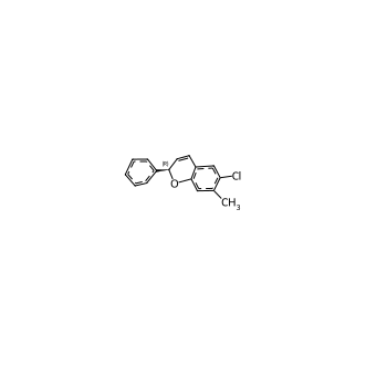 Cc1cc2c(cc1Cl)C=C[C@H](c1ccccc1)O2